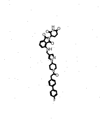 O=C1CCC(N2C(=O)c3cccc(NCc4cnn(C5CCN(C(=O)Cc6ccc(-c7ccc(F)cc7)cc6)CC5)c4)c3C2=O)C(=O)N1